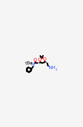 CC1(C)O[C@H](CCN)C[C@H](CC(=O)N(Cc2ccccc2)C(C)(C)C)O1